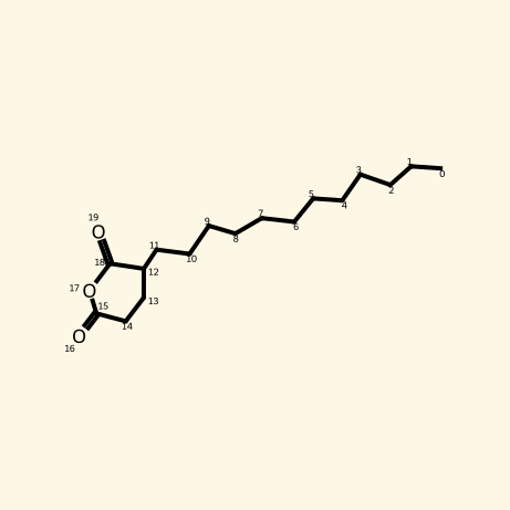 CCCCCCCCCCCCC1CCC(=O)OC1=O